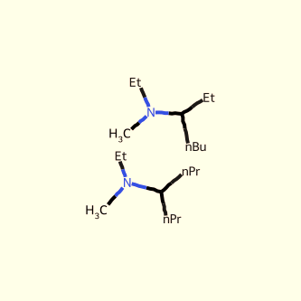 CCCC(CCC)N(C)CC.CCCCC(CC)N(C)CC